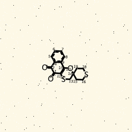 O=C1C(=O)c2ccccc2C2=C1SCC1(CCSCC1)O2